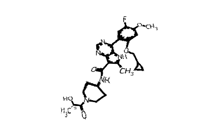 COc1cc(OCC2CC2)c(-c2ncnc3c(C(=O)NC4CCN(C(=O)[C@H](C)O)CC4)c(C)[nH]c23)cc1F